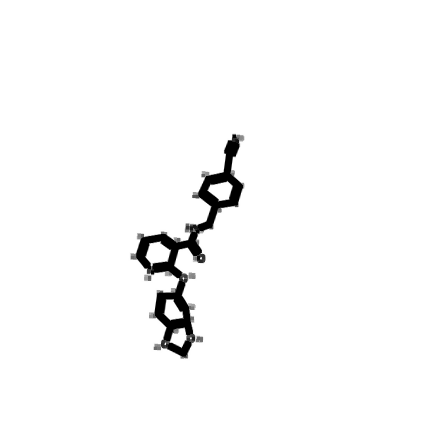 N#Cc1ccc(CNC(=O)c2cccnc2Oc2ccc3c(c2)OCO3)cc1